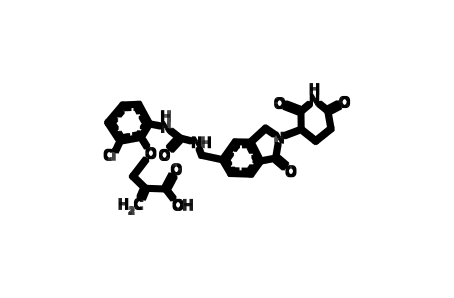 C=C(COc1c(Cl)cccc1NC(=O)NCc1ccc2c(c1)CN(C1CCC(=O)NC1=O)C2=O)C(=O)O